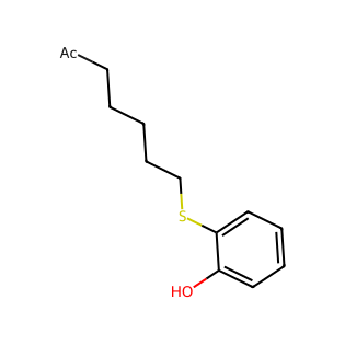 CC(=O)CCCCCSc1ccccc1O